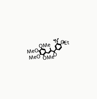 CCOc1ccc(C(=O)/C(C)=C/c2cc(OC)c(OC)c(OC)c2OC)cc1N(C)C